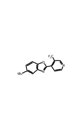 CC(C)(C)c1ccc2oc(-c3ccncc3C(F)(F)F)nc2c1